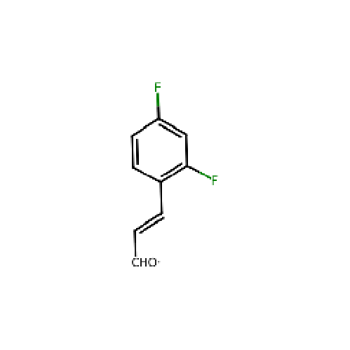 O=[C]/C=C/c1ccc(F)cc1F